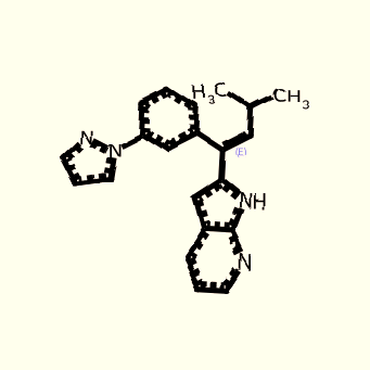 CC(C)/C=C(\c1cccc(-n2cccn2)c1)c1cc2cccnc2[nH]1